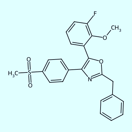 COc1c(F)cccc1-c1oc(Cc2ccccc2)nc1-c1ccc(S(C)(=O)=O)cc1